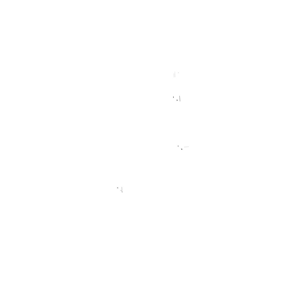 CC(C)NCC(N)Cc1ccccn1